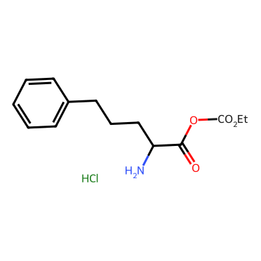 CCOC(=O)OC(=O)C(N)CCCc1ccccc1.Cl